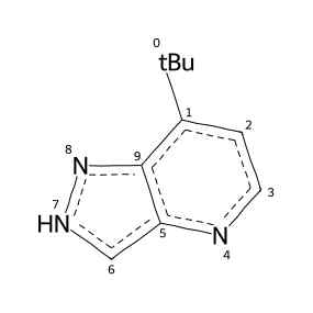 CC(C)(C)c1ccnc2c[nH]nc12